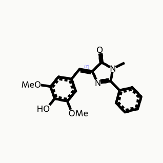 COc1cc(/C=C2\N=C(c3ccccc3)N(C)C2=O)cc(OC)c1O